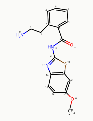 NCCc1ccccc1C(=O)Nc1nc2ccc(OC(F)(F)F)cc2s1